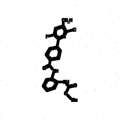 CC(C)(C)OC(=O)Nc1ccccc1NC(=O)c1ccc(-c2nc(Cl)c(C(=O)O)cc2F)cc1